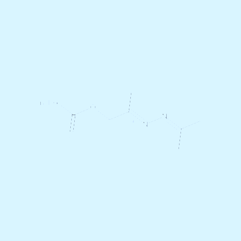 CCCCCCC(=O)OC/C(C)=N/N=C(C)C